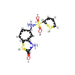 O=c1[nH]c2cc(NS(=O)(=O)c3cccs3)ccc2s1